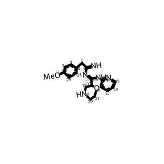 COc1ccc(CC(=N)/N=C(\Nc2ccccn2)C2CNCCO2)cc1